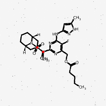 CCCCC(=O)OCc1nc(N(C)[C@@H]2C[C@H]3CCC[C@@H](C2)N3S(=O)(=O)CC)nc(Nc2cc(C)[nH]n2)c1F